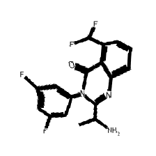 CC(N)c1nc2cccc(C(F)F)c2c(=O)n1-c1cc(F)cc(F)c1